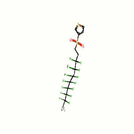 O=S(=O)(CCC(F)(F)C(F)(F)C(F)(F)C(F)(F)C(F)(F)C(F)(F)C(F)(F)C(F)(F)F)c1ccsc1